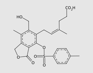 CC(=CCc1c(CO)c(C)c2c(c1OS(=O)(=O)c1ccc(C)cc1)C(=O)OC2)CCC(=O)O